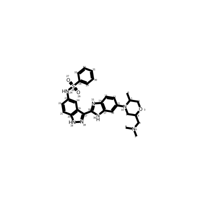 CC1COC(CN(C)C)CN1c1ccc2nc(-c3n[nH]c4ccc(NS(=O)(=O)c5ccccc5)cc34)[nH]c2c1